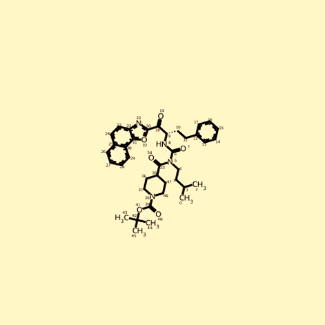 CC(C)CCN(C(=O)N[C@@H](CCc1ccccc1)C(=O)c1nc2ccc3ccccc3c2o1)C(=O)C1CCN(C(=O)OC(C)(C)C)CC1